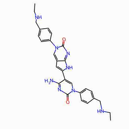 CCNCc1ccc(-n2cc(-c3cc4cn(-c5ccc(CNCC)cc5)c(=O)nc4[nH]3)c(N)nc2=O)cc1